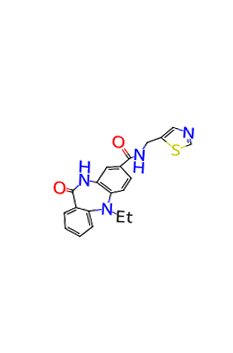 CCN1c2ccc(C(=O)NCc3cncs3)cc2NC(=O)c2ccccc21